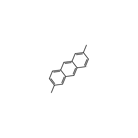 Cc1c[c]c2cc3cc(C)ccc3cc2c1